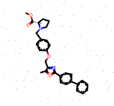 COC(=O)[C@@H]1CCCN1Cc1ccc(OCc2nc(-c3ccc(-c4ccccc4)cc3)oc2C)cc1